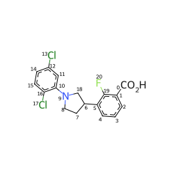 O=C(O)c1cccc(C2CCN(c3cc(Cl)ccc3Cl)C2)c1F